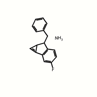 Fc1ccc2c(c1)C1=CC1C2Cc1ccccc1.N